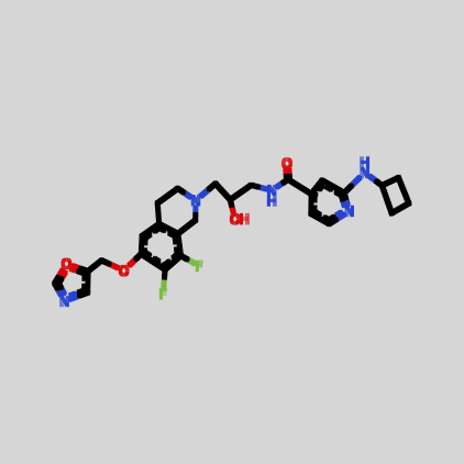 O=C(NCC(O)CN1CCc2cc(OCc3cnco3)c(F)c(F)c2C1)c1ccnc(NC2CCC2)c1